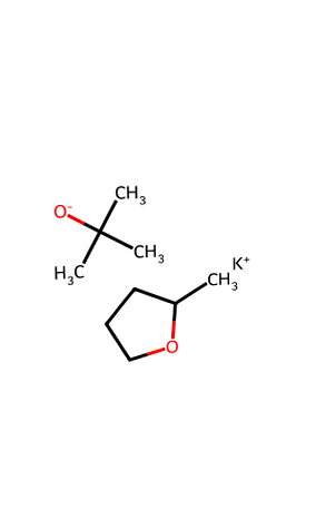 CC(C)(C)[O-].CC1CCCO1.[K+]